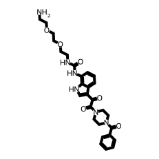 NCCOCCOCCNC(=O)Nc1cccc2c(C(=O)C(=O)N3CCN(C(=O)c4ccccc4)CC3)c[nH]c12